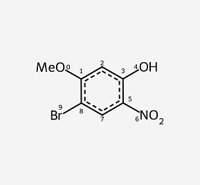 COc1cc(O)c([N+](=O)[O-])cc1Br